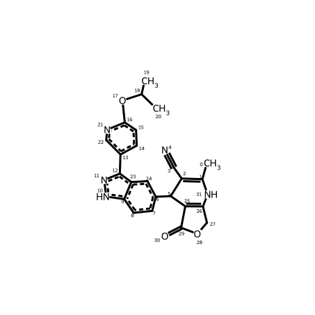 CC1=C(C#N)C(c2ccc3[nH]nc(-c4ccc(OC(C)C)nc4)c3c2)C2=C(COC2=O)N1